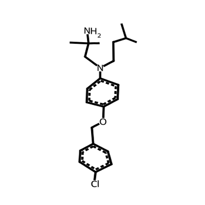 CC(C)CCN(CC(C)(C)N)c1ccc(OCc2ccc(Cl)cc2)cc1